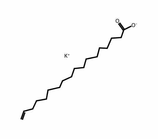 C=CCCCCCCCCCCCCCCCC(=O)[O-].[K+]